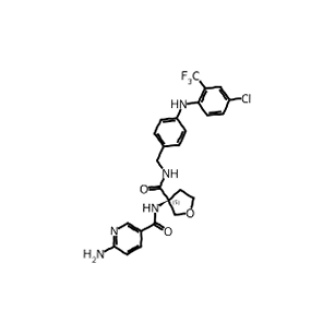 Nc1ccc(C(=O)N[C@@]2(C(=O)NCc3ccc(Nc4ccc(Cl)cc4C(F)(F)F)cc3)CCOC2)cn1